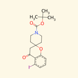 CC(C)(C)OC(=O)N1CCC2(CC1)CC(=O)c1c(I)cccc1O2